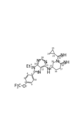 CCn1c(-c2ccc(OC(F)(F)F)cc2)nc2c(NC3CCC(=N)N(C(=N)C4CC4)C3)ncnc21